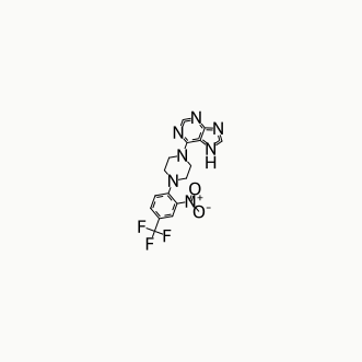 O=[N+]([O-])c1cc(C(F)(F)F)ccc1N1CCN(c2ncnc3nc[nH]c23)CC1